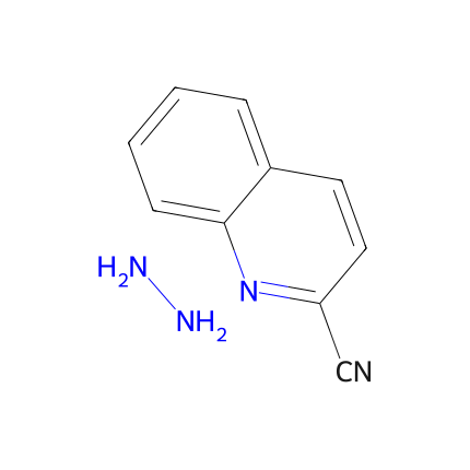 N#Cc1ccc2ccccc2n1.NN